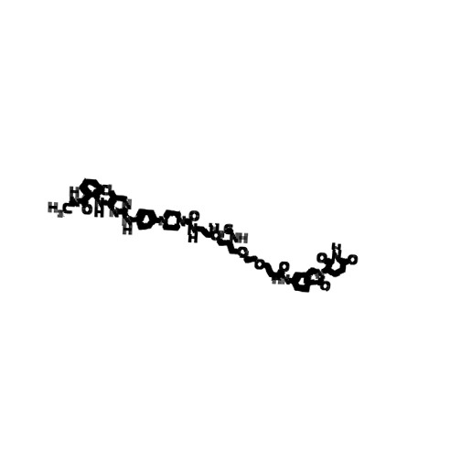 CNC(=O)c1ccccc1Nc1nc(Nc2ccc(N3CCN(C(=O)NCCOCC(COCCOCCC(=O)Nc4ccc5c(c4)CN(C4CCC(=O)NC4=O)C5=O)NC)CC3)cc2)ncc1Cl